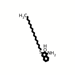 CCCCCCCCCCCCCCCCCCSc1cc2ccccc2c(N)c1O